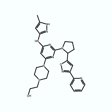 Cc1cc(Nc2cc(N3CCN(CCO)CC3)nc(N3CCCC3c3cc(-c4ccccn4)no3)n2)n[nH]1